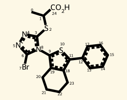 CC(Sc1nnc(Br)n1-c1sc(-c2ccccc2)c2c1CCCC2)C(=O)O